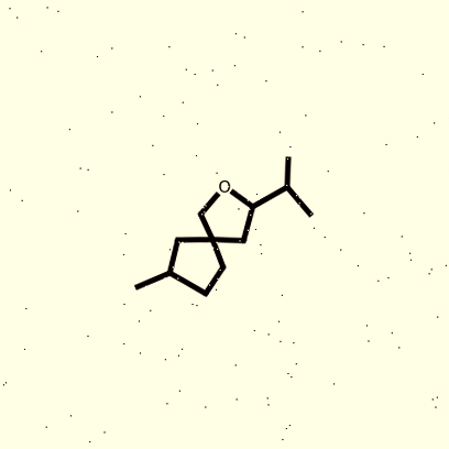 CC1CCC2(COC(C(C)C)C2)C1